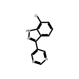 Clc1cccc2c(-c3cncnc3)n[nH]c12